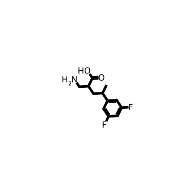 CC(CC(CN)C(=O)O)c1cc(F)cc(F)c1